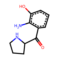 Nc1c(O)cccc1C(=O)C1CCCN1